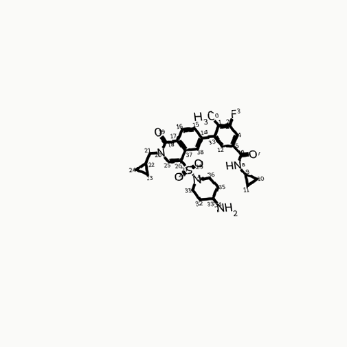 Cc1c(F)cc(C(=O)NC2CC2)cc1-c1ccc2c(=O)n(CC3CC3)cc(S(=O)(=O)N3CCC(N)CC3)c2c1